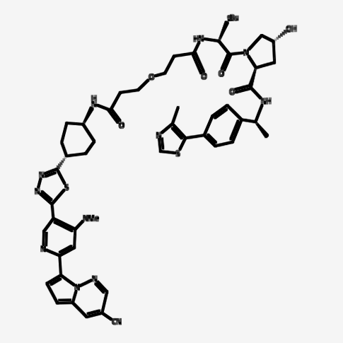 CNc1cc(-c2ccc3cc(C#N)cnn23)ncc1-c1nnc([C@H]2CC[C@H](NC(=O)CCOCCC(=O)N[C@H](C(=O)N3C[C@H](O)C[C@H]3C(=O)N[C@@H](C)c3ccc(-c4scnc4C)cc3)C(C)(C)C)CC2)s1